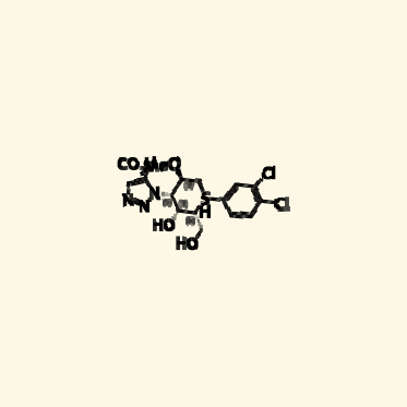 CO[C@H]1C[SH](c2ccc(Cl)c(Cl)c2)[C@H](CO)[C@H](O)[C@@H]1n1nncc1C(=O)O